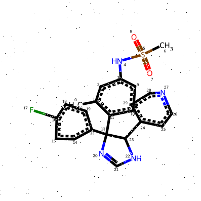 Cc1cc(NS(C)(=O)=O)ccc1C1(c2ccc(F)cc2)N=CNC1c1ccncc1